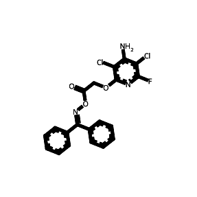 Nc1c(Cl)c(F)nc(OCC(=O)ON=C(c2ccccc2)c2ccccc2)c1Cl